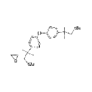 C1CO1.CC(C)(C)CC(C)(C)c1ccc(Oc2ccc(C(C)(C)CC(C)(C)C)cc2)cc1